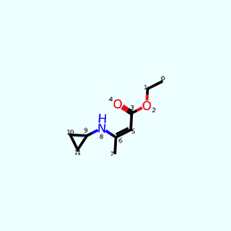 CCOC(=O)/C=C(/C)NC1CC1